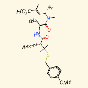 CN[C@H](C(=O)N[C@H](C(=O)N(C)[C@H](/C=C(\C)C(=O)O)C(C)C)C(C)(C)C)C(C)(C)SCc1ccc(OC)cc1